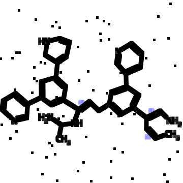 C/C=C\C(=C/N)c1cc(C/C=C(\NC(C)N)c2cc(C3=CC=CNC3)cc(-c3cccnc3)c2)cc(-c2cccnc2)c1